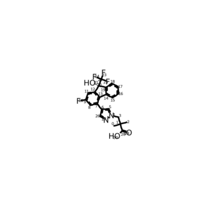 CC(C)(Cn1cc(-c2cc(F)cc3c2-c2ccccc2[C@]3(O)C(F)(F)F)cn1)C(=O)O